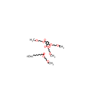 C=COCCCCOC(=O)CCCCCCCCCCCCCCCCC.C=COCCCCOC(=O)c1ccc(C(=O)OCCCCOC=C)c(C(=O)OCCCCOC=C)c1